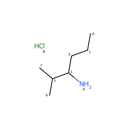 CCCC(N)C(C)C.Cl